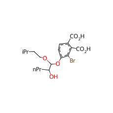 CCCC(O)C(OCCC(C)C)Oc1ccc(C(=O)O)c(C(=O)O)c1Br